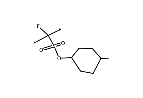 CC1CCC(OS(=O)(=O)C(F)(F)F)CC1